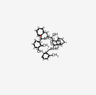 Cc1ccccc1CNC(=O)[C@@H]1C2CCC(CC2)N1C(=O)[C@@H](O)[C@H](Cc1ccccc1)NC(=O)c1cccc(O)c1C